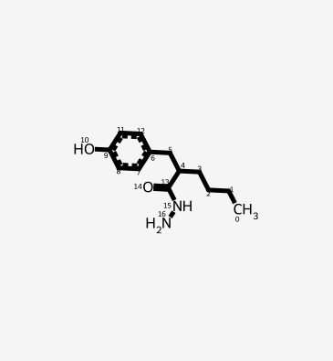 CCCCC(Cc1ccc(O)cc1)C(=O)NN